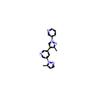 Cc1nn(-c2cccnc2)cc1-c1cncc(-n2nccc2C)c1